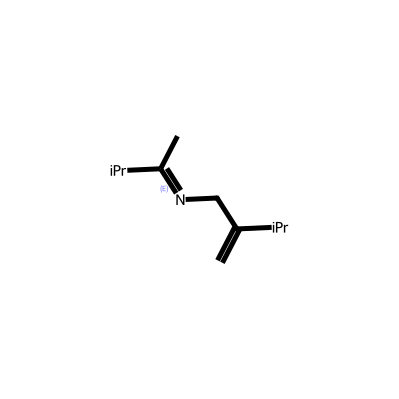 C=C(C/N=C(\C)C(C)C)C(C)C